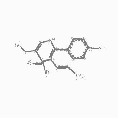 CC(C)C1(C(C)C)C(CO)=CNC(c2ccc(F)cc2)=C1/C=C/C=O